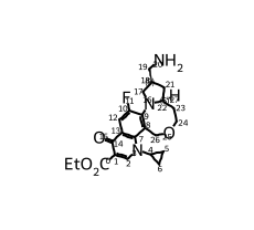 CCOC(=O)c1cn(C2CC2)c2c3c(c(F)cc2c1=O)N1C[C@@H](CN)C[C@H]1CCOC3